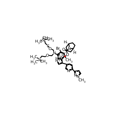 Cn1ccc(-c2ccc(-c3cnn4c(N(COCC[Si](C)(C)C)COCC[Si](C)(C)C)c(Br)c([C@@H]5C[C@H]6CC[C@@H](C5)N6C(=O)OC(C)(C)C)nc34)cn2)n1